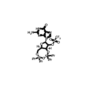 CC(C)[Si]1(C(C)C)OC[C@H]2O[C@@H](n3cnc4c(=O)[nH]c(N)nc43)C(OS(=O)(=O)C(F)(F)F)[C@H]2O[Si](C(C)C)(C(C)C)O1